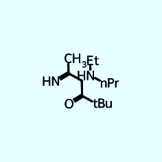 CC(=N)CC(=O)C(C)(C)C.CCCNCC